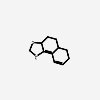 C1=CC2=C3NCOC3CCC2CC1